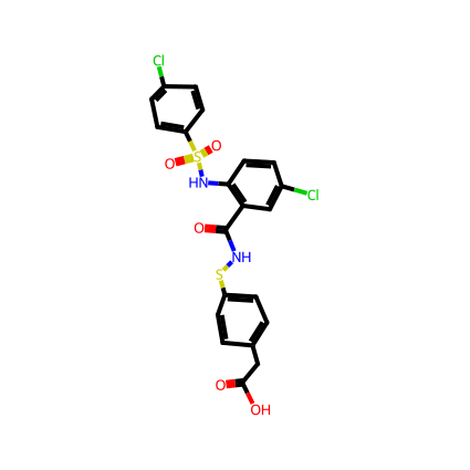 O=C(O)Cc1ccc(SNC(=O)c2cc(Cl)ccc2NS(=O)(=O)c2ccc(Cl)cc2)cc1